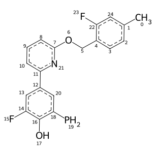 Cc1ccc(COc2cccc(-c3cc(F)c(O)c(P)c3)n2)c(F)c1